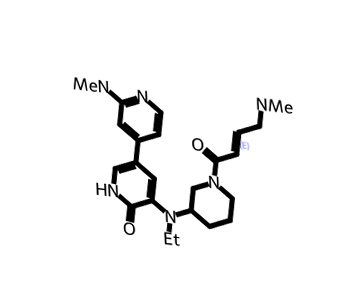 CCN(c1cc(-c2ccnc(NC)c2)c[nH]c1=O)C1CCCN(C(=O)/C=C/CNC)C1